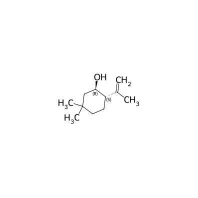 C=C(C)[C@@H]1CCC(C)(C)C[C@H]1O